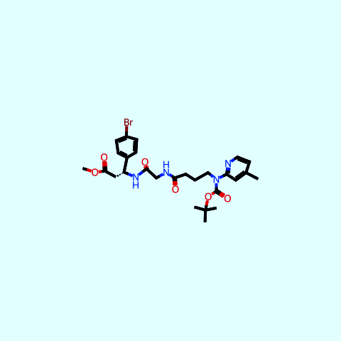 COC(=O)C[C@@H](NC(=O)CNC(=O)CCCN(C(=O)OC(C)(C)C)c1cc(C)ccn1)c1ccc(Br)cc1